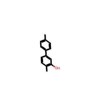 Cc1ccc(-c2ccc(C)c(O)c2)cc1